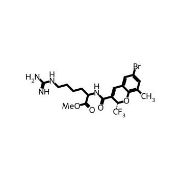 COC(=O)C(CCCCNC(=N)N)NC(=O)C1=Cc2cc(Br)cc(C)c2O[C@@H]1C(F)(F)F